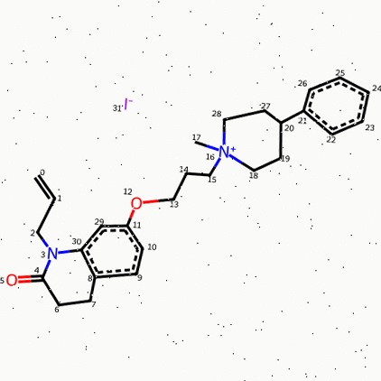 C=CCN1C(=O)CCc2ccc(OCCC[N+]3(C)CCC(c4ccccc4)CC3)cc21.[I-]